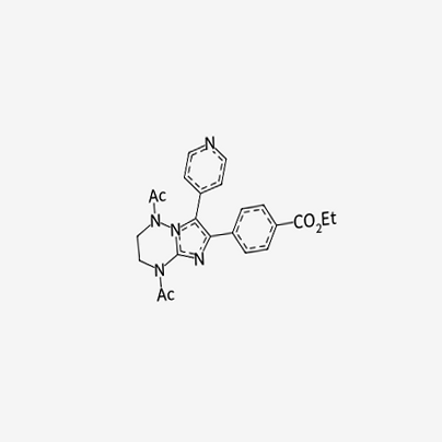 CCOC(=O)c1ccc(-c2nc3n(c2-c2ccncc2)N(C(C)=O)CCN3C(C)=O)cc1